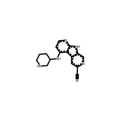 N#Cc1cc2c(cn1)[nH]c1nccc(NC3CCCNC3)c12